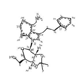 CC1(C)O[C@@H]2[C@H](O1)[C@@H](CO)O[C@H]2n1nc(CCc2ccccc2)c2c(N)ncnc21